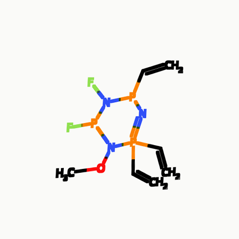 C=CP1N=P(C=C)(C=C)N(OC)P(F)N1F